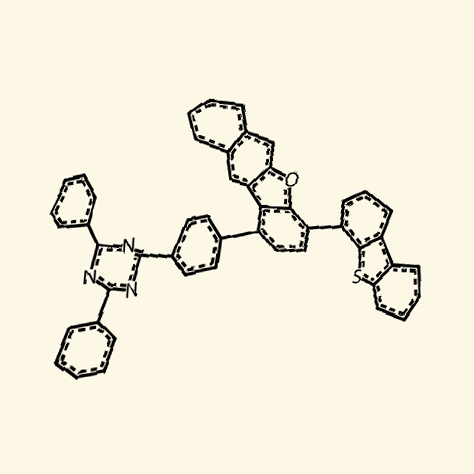 c1ccc(-c2nc(-c3ccccc3)nc(-c3ccc(-c4ccc(-c5cccc6c5sc5ccccc56)c5oc6cc7ccccc7cc6c45)cc3)n2)cc1